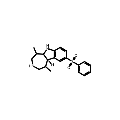 CC1CNCC(C)[C@H]2c3cc(S(=O)(=O)c4ccccc4)ccc3NC12